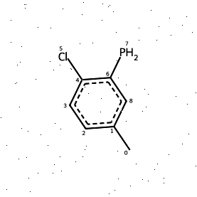 Cc1ccc(Cl)c(P)c1